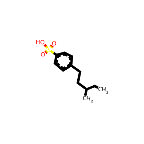 CCC(C)CCc1ccc(S(=O)(=O)O)cc1